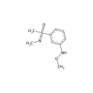 CN=S(C)(=O)c1cccc(NOC)c1